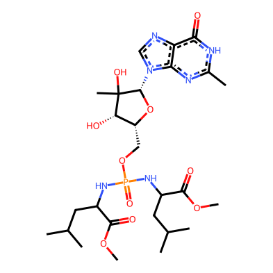 COC(=O)C(CC(C)C)NP(=O)(NC(CC(C)C)C(=O)OC)OC[C@H]1O[C@@H](n2cnc3c(=O)[nH]c(C)nc32)C(C)(O)[C@H]1O